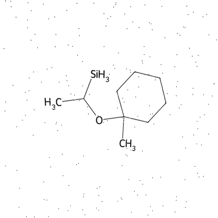 CC([SiH3])OC1(C)CCCCC1